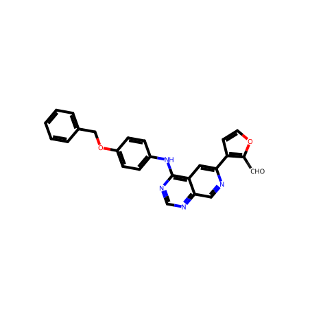 O=Cc1occc1-c1cc2c(Nc3ccc(OCc4ccccc4)cc3)ncnc2cn1